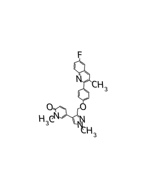 Cc1cc2cc(F)ccc2nc1-c1ccc(OCc2nn(C)cc2-c2ccc(=O)n(C)c2)cc1